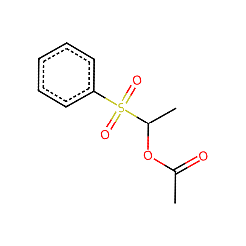 CC(=O)OC(C)S(=O)(=O)c1ccccc1